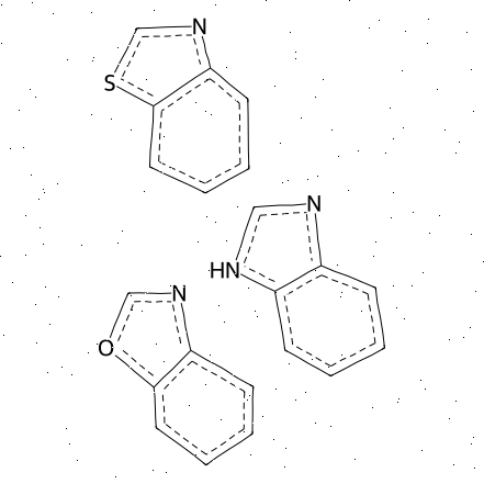 c1ccc2[nH]cnc2c1.c1ccc2ocnc2c1.c1ccc2scnc2c1